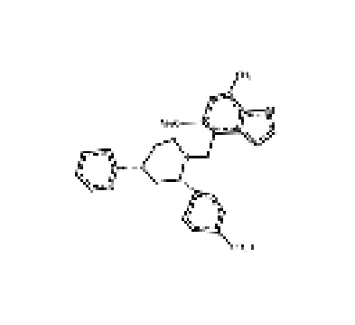 COc1cc(C)c2[nH]ccc2c1CN1CC[C@@H](c2ccccn2)C[C@H]1c1ccc(C(=O)O)cc1